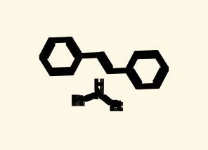 C(=Cc1ccccc1)c1ccccc1.CCNCC